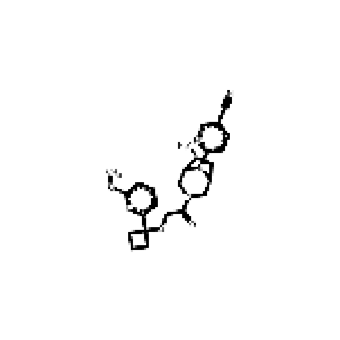 COc1cccc(C2(OCC(=O)N3CC4C[C@H](C)C(C3)N4c3ccc(C#N)cn3)CCC2)n1